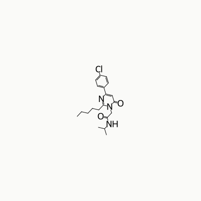 CCCCCc1nc(-c2ccc(Cl)cc2)cc(=O)n1CC(=O)NC(C)C